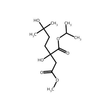 COC(=O)CC(O)(CCC(C)(C)O)C(=O)OC(C)C